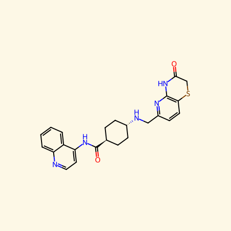 O=C1CSc2ccc(CN[C@H]3CC[C@H](C(=O)Nc4ccnc5ccccc45)CC3)nc2N1